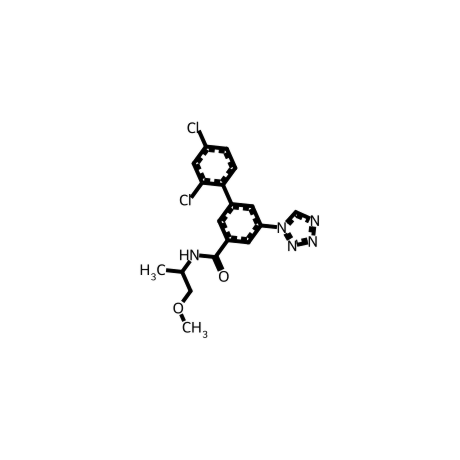 COCC(C)NC(=O)c1cc(-c2ccc(Cl)cc2Cl)cc(-n2cnnn2)c1